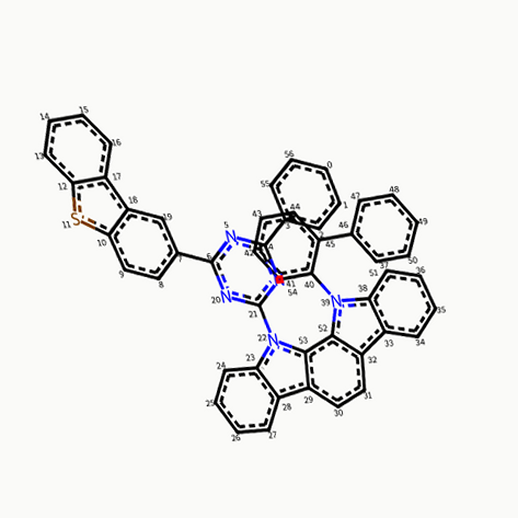 c1ccc(-c2nc(-c3ccc4sc5ccccc5c4c3)nc(-n3c4ccccc4c4ccc5c6ccccc6n(-c6ccccc6-c6ccccc6)c5c43)n2)cc1